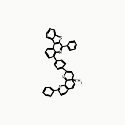 CC12C=Cc3ccc(-c4ccccc4)nc3C1=NC(c1ccc(-c3cccc4c3nc(-c3ccccc3)c3sc5ccccc5c34)cc1)=CC2